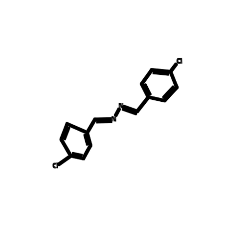 Clc1ccc(/C=N/N=C/c2ccc(Cl)cc2)cc1